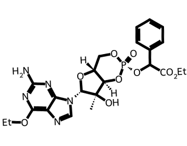 CCOC(=O)C(O[P@@]1(=O)OC[C@H]2O[C@@H](n3cnc4c(OCC)nc(N)nc43)[C@](C)(O)[C@@H]2O1)c1ccccc1